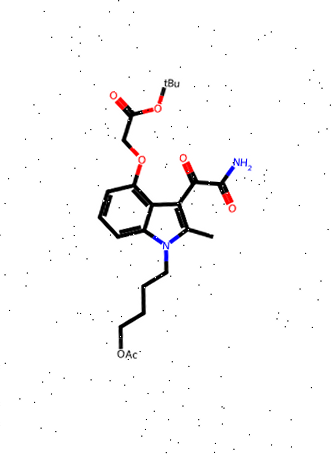 CC(=O)OCCCCn1c(C)c(C(=O)C(N)=O)c2c(OCC(=O)OC(C)(C)C)cccc21